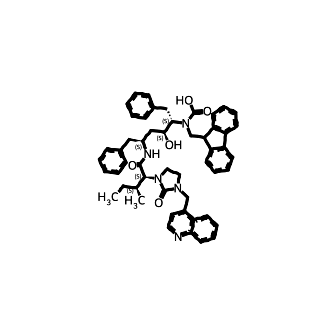 CC[C@H](C)[C@@H](C(=O)N[C@@H](Cc1ccccc1)C[C@H](O)[C@H](Cc1ccccc1)N(CC1c2ccccc2-c2ccccc21)C(=O)O)N1CCN(Cc2ccnc3ccccc23)C1=O